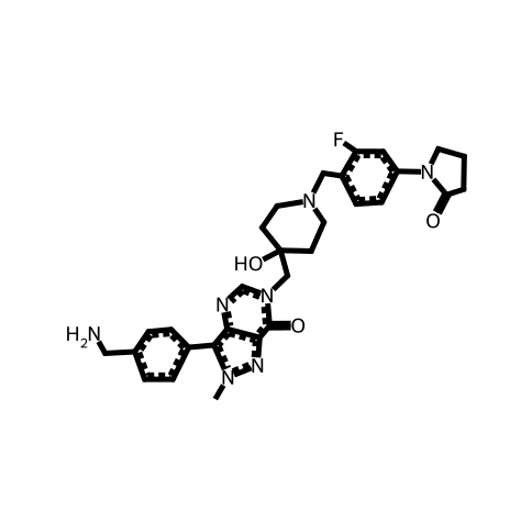 Cn1nc2c(=O)n(CC3(O)CCN(Cc4ccc(N5CCCC5=O)cc4F)CC3)cnc2c1-c1ccc(CN)cc1